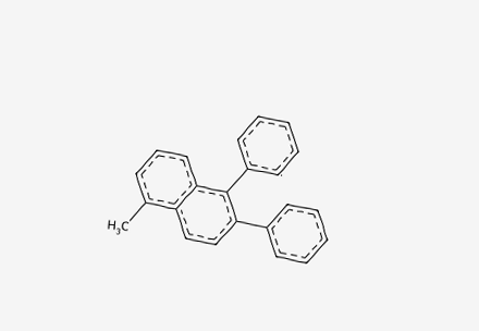 Cc1cccc2c(-c3[c]cccc3)c(-c3ccccc3)ccc12